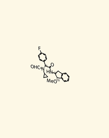 CO[C@H]1c2ccccc2C[C@@H]1NC(=O)[C@@H](c1ccc(F)cc1)N(C=O)C1CC1